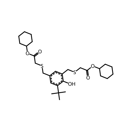 CC(C)(C)c1cc(CSCC(=O)OC2CCCCC2)cc(CSCC(=O)OC2CCCCC2)c1O